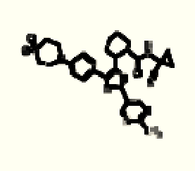 Cc1ncc(-c2nc(-c3ccc(N4CCS(=O)(=O)CC4)cc3)c(C3CCCCC3C(=O)NC3(C#N)CC3)o2)cn1